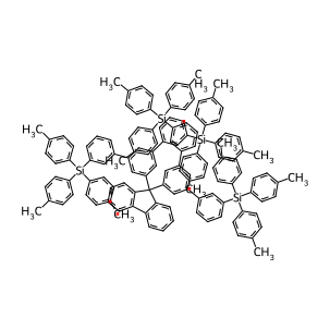 Cc1ccc([Si](c2ccc(C)cc2)(c2ccc(C)cc2)c2cccc(-c3cc(-c4cccc([Si](c5ccc(C)cc5)(c5ccc(C)cc5)c5ccc(C)cc5)c4)cc(C4(c5cc(-c6cccc([Si](c7ccc(C)cc7)(c7ccc(C)cc7)c7ccc(C)cc7)c6)cc(-c6cccc([Si](c7ccc(C)cc7)(c7ccc(C)cc7)c7ccc(C)cc7)c6)c5)c5ccccc5-c5ccccc54)c3)c2)cc1